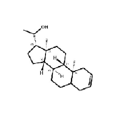 CC(O)[C@H]1CC[C@H]2[C@@H]3CCC4CC=CC[C@]4(C)[C@H]3CC[C@]12C